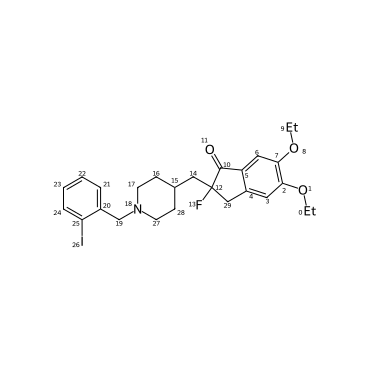 CCOc1cc2c(cc1OCC)C(=O)C(F)(CC1CCN(Cc3ccccc3I)CC1)C2